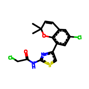 CC1(C)C=Cc2cc(Cl)cc(-c3csc(NC(=O)CCl)n3)c2O1